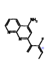 C=C(/C(F)=C\C)c1cc(N)c2cccnc2n1